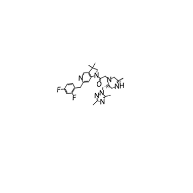 Cc1nc(C)n(C[C@H]2CN[C@H](C)CN2CC(=O)N2CC(C)(C)c3cnc(Cc4ccc(F)cc4F)cc32)n1